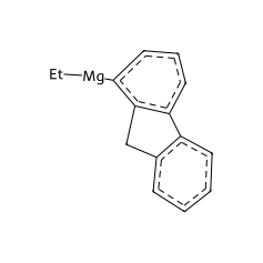 [CH2][CH2][Mg][c]1cccc2c1Cc1ccccc1-2